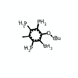 Bc1c(P)c(C)c(P)c(P)c1OC(C)(C)C